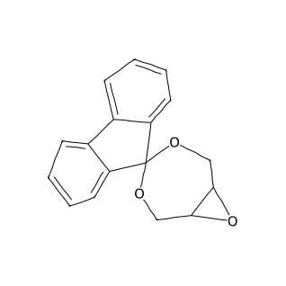 c1ccc2c(c1)-c1ccccc1C21OCC2OC2CO1